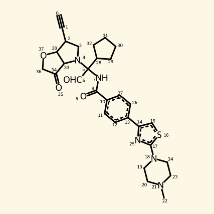 C#CC1CN(C(C=O)(NC(=O)c2ccc(-c3csc(N4CCN(C)CC4)n3)cc2)C2CCCC2)C2C(=O)COC12